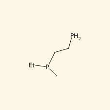 CCP(C)CCP